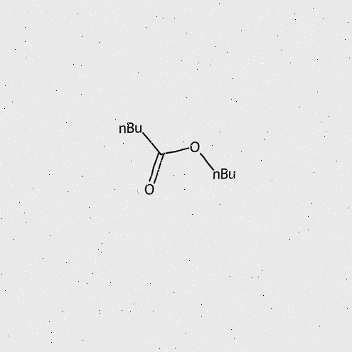 [CH]CCCC(=O)OCCCC